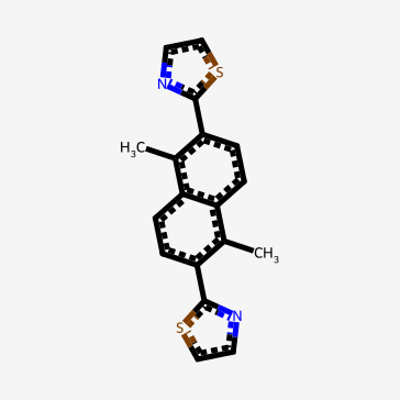 Cc1c(-c2nccs2)ccc2c(C)c(-c3nccs3)ccc12